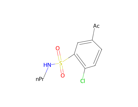 CCCNS(=O)(=O)c1cc(C(C)=O)ccc1Cl